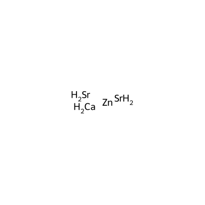 [CaH2].[SrH2].[SrH2].[Zn]